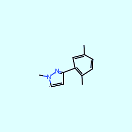 Cc1ccc(C)c(-c2c[c]n(C)n2)c1